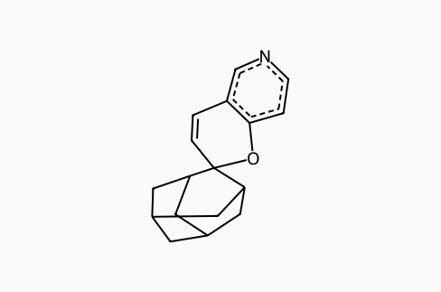 C1=CC2(Oc3ccncc31)C1CC3CC(C1)CC2C3